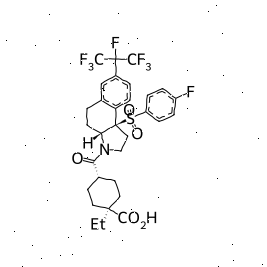 CC[C@]1(C(=O)O)CC[C@H](C(=O)N2CC[C@@]3(S(=O)(=O)c4ccc(F)cc4)c4ccc(C(F)(C(F)(F)F)C(F)(F)F)cc4CC[C@@H]23)CC1